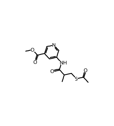 COC(=O)c1cncc(NC(=O)C(C)CSC(C)=O)c1